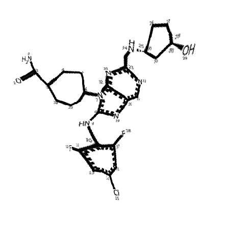 NC(=O)C1CCC(n2c(Nc3c(F)cc(Cl)cc3F)nc3cnc(N[C@@H]4CC[C@@H](O)C4)nc32)CC1